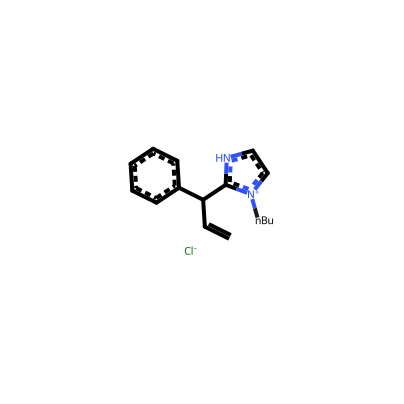 C=CC(c1ccccc1)c1[nH]cc[n+]1CCCC.[Cl-]